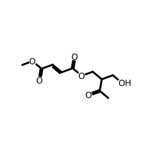 COC(=O)/C=C/C(=O)OCC(CO)C(C)=O